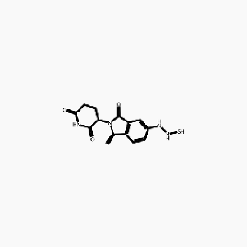 C=C1c2ccc(NNS)cc2C(=O)N1C1CCC(=O)NC1=O